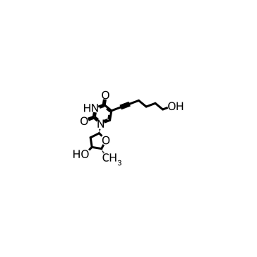 C[C@H]1O[C@@H](n2cc(C#CCCCCO)c(=O)[nH]c2=O)CC1O